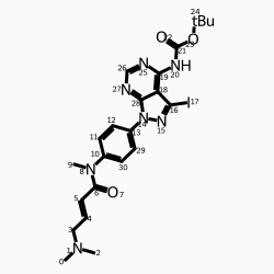 CN(C)C/C=C/C(=O)N(C)c1ccc(-n2nc(I)c3c(NC(=O)OC(C)(C)C)ncnc32)cc1